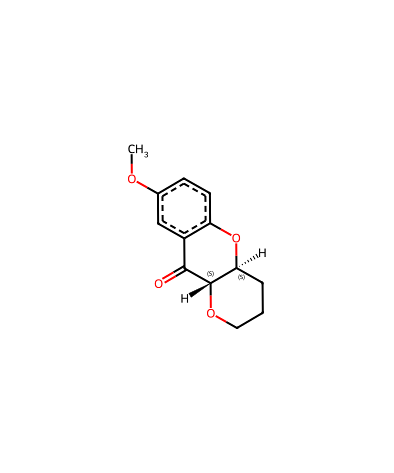 COc1ccc2c(c1)C(=O)[C@H]1OCCC[C@@H]1O2